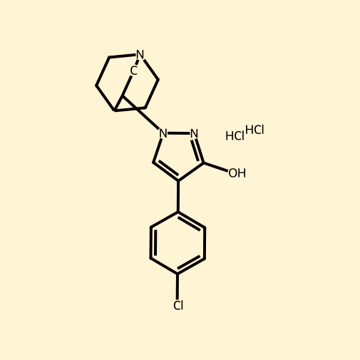 Cl.Cl.Oc1nn(C2CN3CCC2CC3)cc1-c1ccc(Cl)cc1